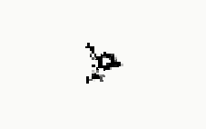 CCOc1ccc(C)cc1OC(F)F